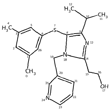 Cc1cc(C)cc(Sc2c(C(C)C)nc(CCO)n2Cc2cccnc2)c1